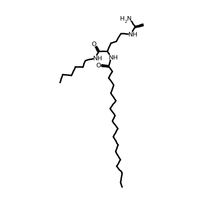 C=C(N)NCCCC(NC(=O)CCCCCCCCCCCCCCCCC)C(=O)NCCCCCC